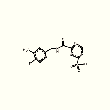 Cc1cc(CNC(=O)c2cc(S(=O)(=O)Cl)ncn2)ccc1F